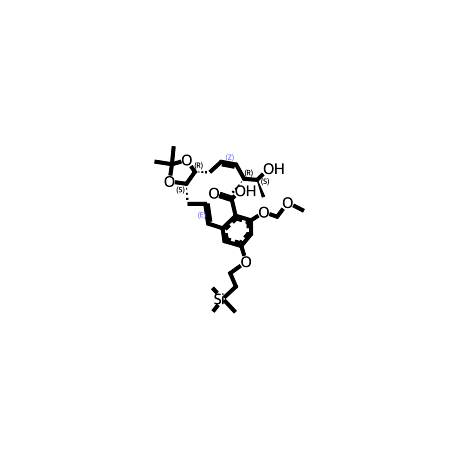 COCOc1cc(OCC[Si](C)(C)C)cc(/C=C/C[C@@H]2OC(C)(C)O[C@@H]2C/C=C\[C@@H](C)[C@H](C)O)c1C(=O)O